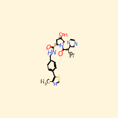 Cc1ncsc1-c1ccc(CNC(=O)[C@@H]2C[C@@H](O)CN2C(=O)[C@@H](c2cnccn2)C(C)C)cc1